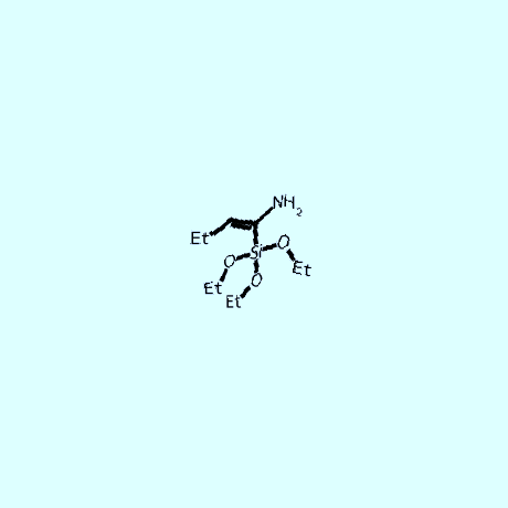 CCC=C(N)[Si](OCC)(OCC)OCC